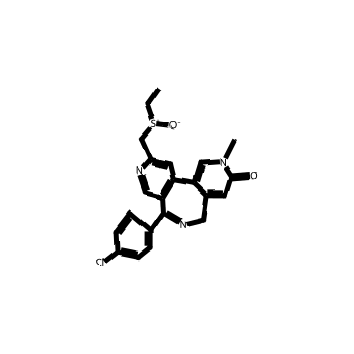 CC[S+]([O-])Cc1cc2c(cn1)C(c1ccc(Cl)cc1)=NCc1cc(=O)n(C)cc1-2